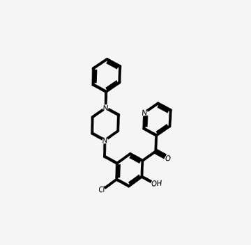 O=C(c1cccnc1)c1cc(CN2CCN(c3ccccc3)CC2)c(Cl)cc1O